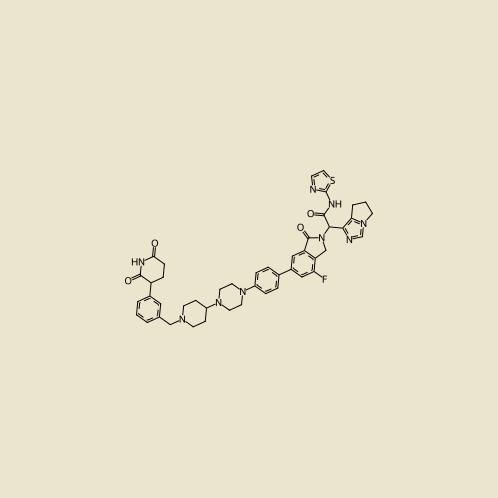 O=C1CCC(c2cccc(CN3CCC(N4CCN(c5ccc(-c6cc(F)c7c(c6)C(=O)N(C(C(=O)Nc6nccs6)c6ncn8c6CCC8)C7)cc5)CC4)CC3)c2)C(=O)N1